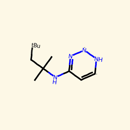 CC(C)(C)CC(C)(C)NC1=N[N]N[C]=C1